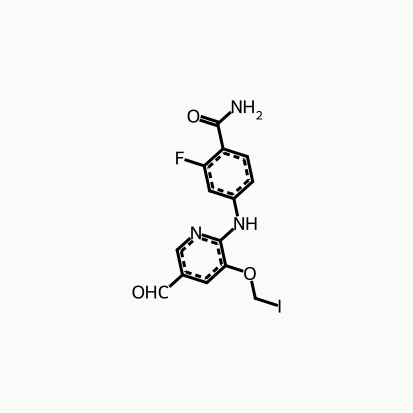 NC(=O)c1ccc(Nc2ncc(C=O)cc2OCI)cc1F